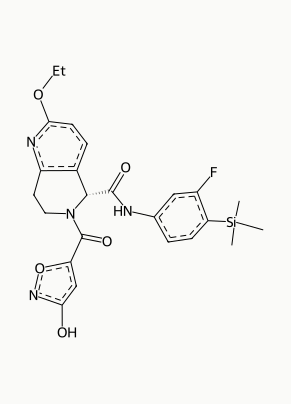 CCOc1ccc2c(n1)CCN(C(=O)c1cc(O)no1)[C@H]2C(=O)Nc1ccc([Si](C)(C)C)c(F)c1